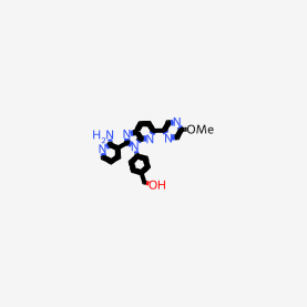 COc1cnc(-c2ccc3nc(-c4cccnc4N)n(-c4ccc(CO)cc4)c3n2)cn1